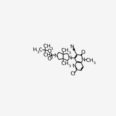 Cn1c(=O)c(C#N)c(N2C[C@]3(C)CN(C(=O)OC(C)(C)C)C[C@]3(C)C2)c2nc(Cl)ccc21